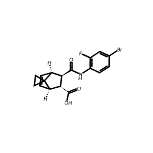 O=C(O)[C@H]1[C@H](C(=O)Nc2ccc(Br)cc2F)[C@@H]2C=C[C@H]1C21CC1